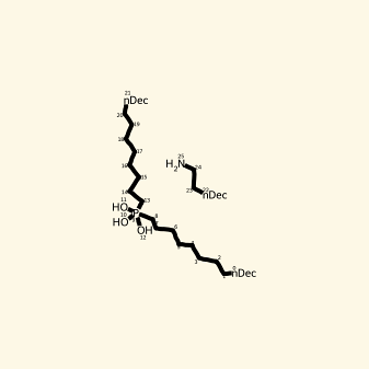 CCCCCCCCCCCCCCCCCCP(O)(O)(O)CCCCCCCCCCCCCCCCCC.CCCCCCCCCCCCN